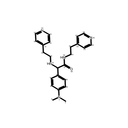 CN(C)c1ccc(C(NCCc2ccncc2)C(=O)NCCc2ccncc2)cc1